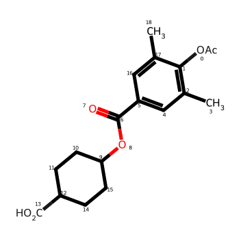 CC(=O)Oc1c(C)cc(C(=O)OC2CCC(C(=O)O)CC2)cc1C